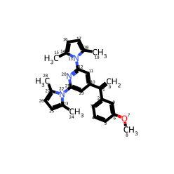 C=C(c1cccc(OC)c1)c1cc(-n2c(C)ccc2C)nc(-n2c(C)ccc2C)c1